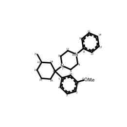 COc1cccc(C2(N3CCN(c4ccccc4)CC3)CCCC(C)C2)c1